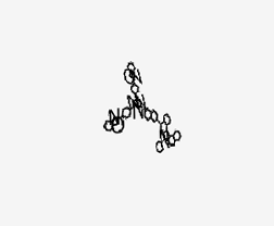 c1ccc(-n2c3ccc4ccccc4c3c3c4ccccc4c(-c4ccc5cc(-c6nc(-c7ccc(-c8nc9ccccc9o8)cc7)nc(-c7ccc(-c8nc9ccccc9o8)cc7)n6)ccc5c4)cc32)cc1